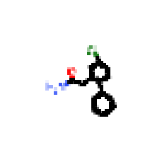 NC(=O)Cc1cc(Cl)ccc1-c1ccccc1